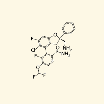 NC[C@@]1(c2ccccc2)Cc2c(cc(F)c(Cl)c2-c2c(C(N)=O)ccc(OC(F)F)c2F)O1